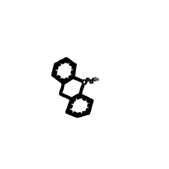 [Pd+2].c1ccc2c(c1)Cc1ccccc1O2